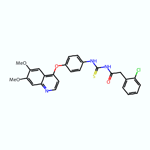 COc1cc2nccc(Oc3ccc(NC(=S)NC(=O)Cc4ccccc4Cl)cc3)c2cc1OC